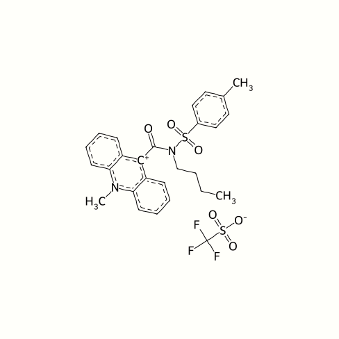 CCCCN(C(=O)[c+]1c2ccccc2n(C)c2ccccc21)S(=O)(=O)c1ccc(C)cc1.O=S(=O)([O-])C(F)(F)F